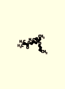 C=CCCO[Si](CC)(CCCOC(=O)C(=C)C)OC